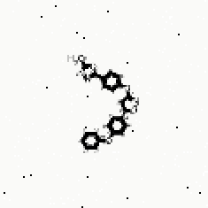 Cc1nnc(-c2ccc(OC3=NO[C@@H](c4ccc(Oc5ccccc5)cc4)C3)cc2)o1